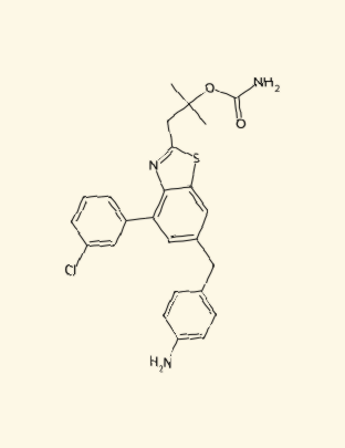 CC(C)(Cc1nc2c(-c3cccc(Cl)c3)cc(Cc3ccc(N)cc3)cc2s1)OC(N)=O